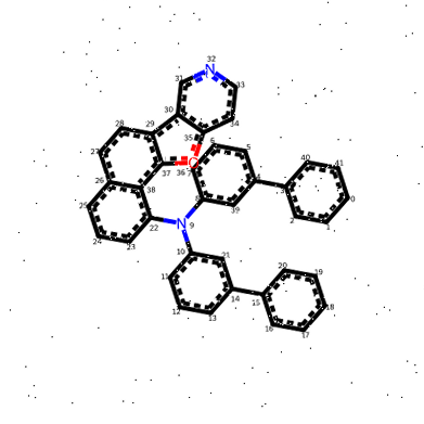 c1ccc(-c2cccc(N(c3cccc(-c4ccccc4)c3)c3cccc4ccc5c6cnccc6oc5c34)c2)cc1